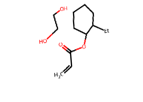 C=CC(=O)OC1CCCCC1CC.OCCO